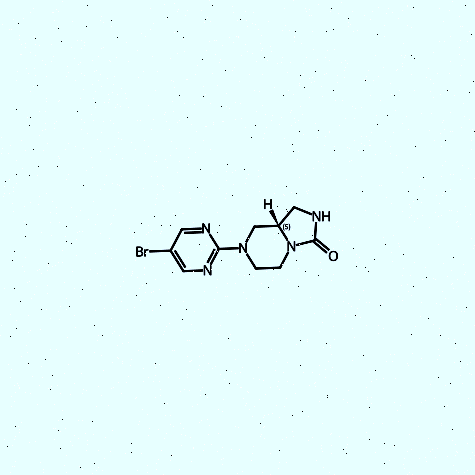 O=C1NC[C@H]2CN(c3ncc(Br)cn3)CCN12